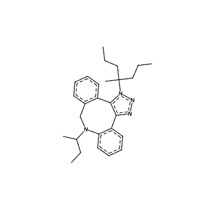 CCCC(C)(CCC)n1nnc2c1-c1ccccc1CN(C(C)CC)c1ccccc1-2